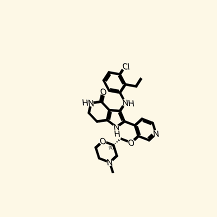 CCc1c(Cl)cccc1Nc1c(-c2ccncc2OC[C@@H]2CN(C)CCO2)[nH]c2c1C(=O)NCC2